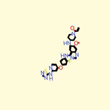 C=CC(=O)N1CCC(Nc2cc3c(Nc4ccc(Oc5ccnc(Nc6ncns6)c5)cc4F)ncnc3cc2OC)CC1